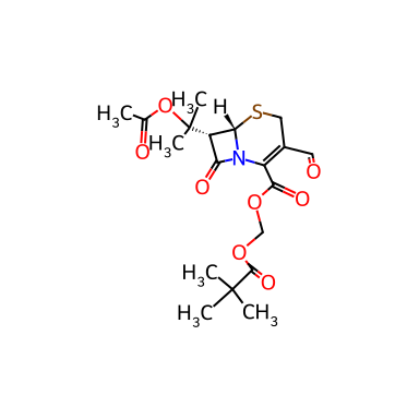 CC(=O)OC(C)(C)[C@H]1C(=O)N2C(C(=O)OCOC(=O)C(C)(C)C)=C(C=O)CS[C@@H]12